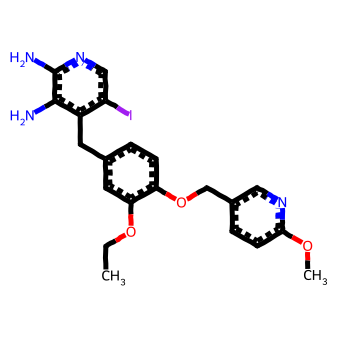 CCOc1cc(Cc2c(I)cnc(N)c2N)ccc1OCc1ccc(OC)nc1